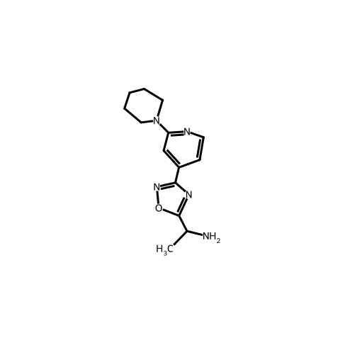 CC(N)c1nc(-c2ccnc(N3CCCCC3)c2)no1